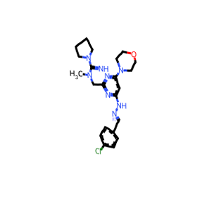 CN(Cc1nc(N/N=C/c2ccc(Cl)cc2)cc(N2CCOCC2)n1)C(=N)N1CCCC1